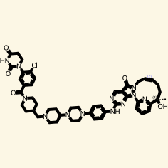 C[C@@]1(O)CC/C=C\Cn2c(=O)c3cnc(Nc4ccc(N5CCN(C6CCN(CC7CCN(C(=O)c8ccc(Cl)c(N9CCC(=O)NC9=O)c8)CC7)CC6)CC5)cc4)nc3n2-c2cccc1n2